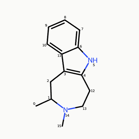 CC1Cc2c([nH]c3ccccc23)CCN1C